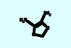 NC1=C(N)OCO1